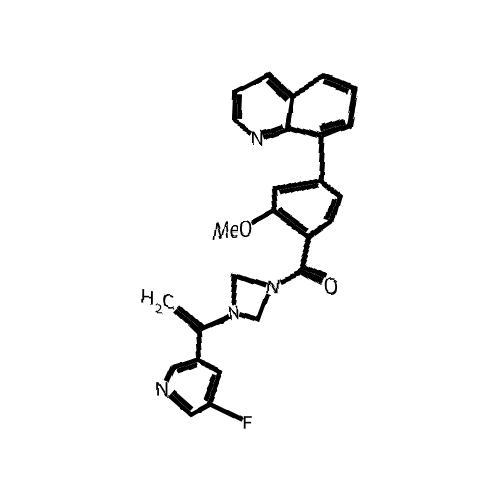 C=C(c1cncc(F)c1)N1CN(C(=O)c2ccc(-c3cccc4cccnc34)cc2OC)C1